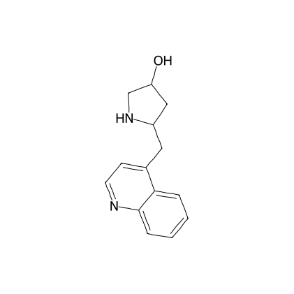 OC1CNC(Cc2ccnc3ccccc23)C1